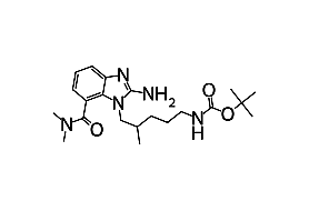 CC(CCCNC(=O)OC(C)(C)C)Cn1c(N)nc2cccc(C(=O)N(C)C)c21